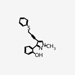 Cn1cc(C#CCSc2ccccc2)c(-c2ccccc2O)n1